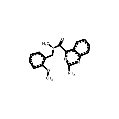 COc1ccccc1CN(C)C(=O)c1nc(N)nc2ccccc12